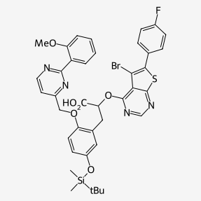 COc1ccccc1-c1nccc(COc2ccc(O[Si](C)(C)C(C)(C)C)cc2CC(Oc2ncnc3sc(-c4ccc(F)cc4)c(Br)c23)C(=O)O)n1